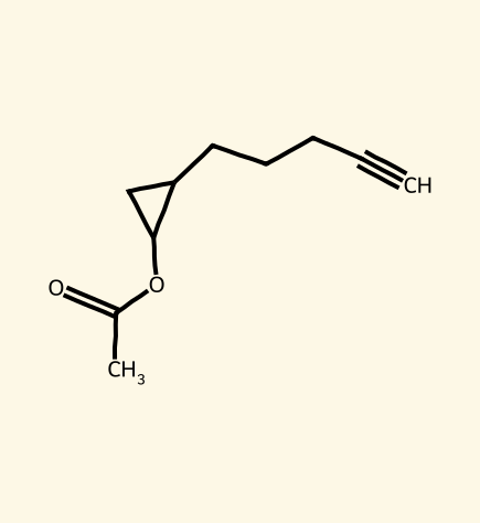 C#CCCCC1CC1OC(C)=O